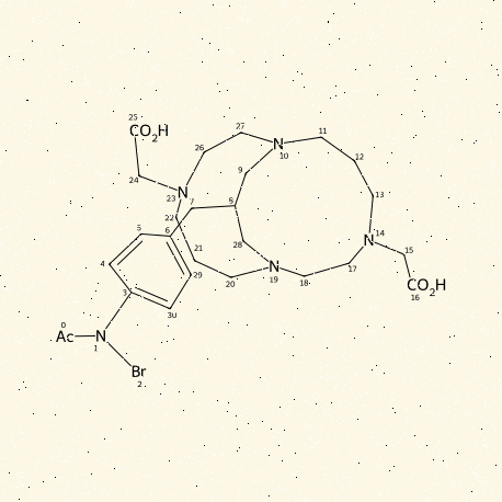 CC(=O)N(Br)c1ccc(CC2CN3CCCN(CC(=O)O)CCN(CCCN(CC(=O)O)CC3)C2)cc1